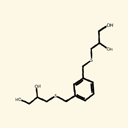 OCC(O)CSCc1cccc(CSCC(O)CO)c1